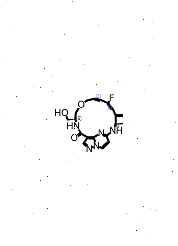 C=C1/C=C(F)\C=C/COC[C@H](CO)NC(=O)c2cnn3ccc(nc23)N[C@@H]1C